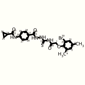 Cc1cc(C)c(OCC(=O)NC(=S)NNC(=O)c2ccc(NC(=O)C3CC3)cc2)c(Br)c1